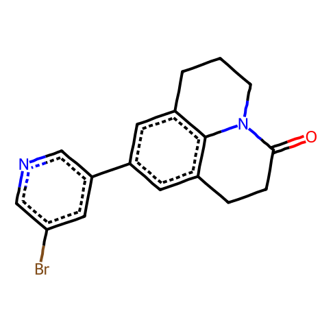 O=C1CCc2cc(-c3cncc(Br)c3)cc3c2N1CCC3